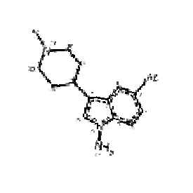 CC(=O)c1ccc2c(c1)c(C1CCN(C)CC1)cn2N